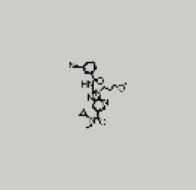 CCN(C(=O)c1cnc2c(c1)nc(NC(=O)c1cccc(C#N)c1)n2CCCOC)C1CC1